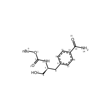 CCCCOC(=O)N[C@H](CO)Cc1ccc(C(N)=O)cc1